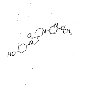 COc1ccc(N2CCC[C@@]3(CCN(C4CCC(O)CC4)C3=O)C2)cn1